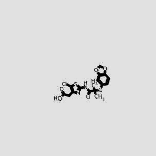 CC(C)(Oc1ccc2c(c1)OCO2)C(=O)Nc1nc(CC(=O)O)c(Cl)s1